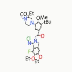 CCOC(=O)CN1CCN(c2cc(C(=O)CN3Cc4cc(OCC)c(OCC)c(F)c4/C3=N/Cl)cc(C(C)(C)C)c2OC)CC1